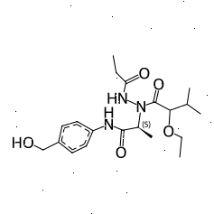 CCOC(C(=O)N(NC(=O)CC)[C@@H](C)C(=O)Nc1ccc(CO)cc1)C(C)C